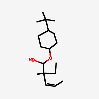 C/C=C\C(C)(CC)C(O)OC1CCC(C(C)(C)C)CC1